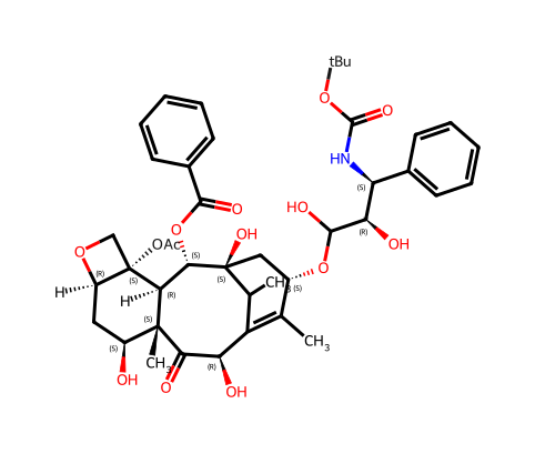 CC(=O)O[C@@]12CO[C@@H]1C[C@H](O)[C@@]1(C)C(=O)[C@H](O)C3=C(C)[C@@H](OC(O)[C@H](O)[C@@H](NC(=O)OC(C)(C)C)c4ccccc4)C[C@](O)(C3C)[C@@H](OC(=O)c3ccccc3)[C@H]21